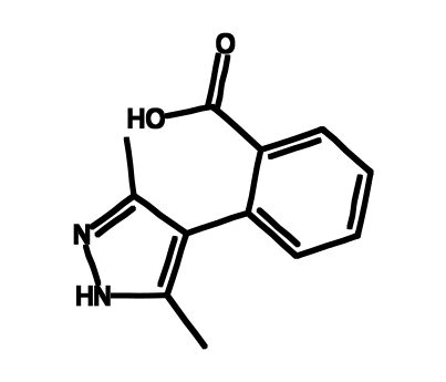 Cc1n[nH]c(C)c1-c1ccccc1C(=O)O